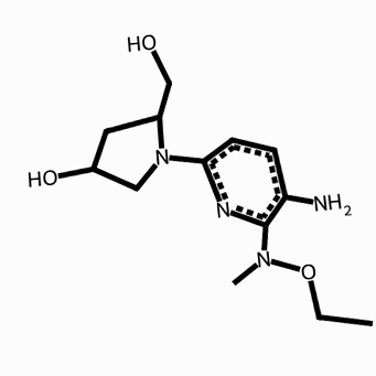 CCON(C)c1nc(N2CC(O)CC2CO)ccc1N